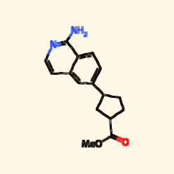 COC(=O)C1CCC(c2ccc3c(N)nccc3c2)C1